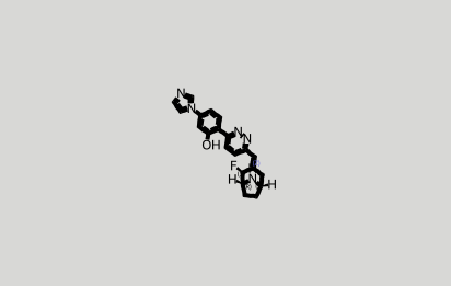 Oc1cc(-n2ccnc2)ccc1-c1ccc(/C=C2/C[C@@H]3CC[C@@H](N3)[C@H]2F)nn1